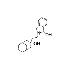 OC1c2ccccc2CN1CCC1(O)CC2CCCC(C2)C1